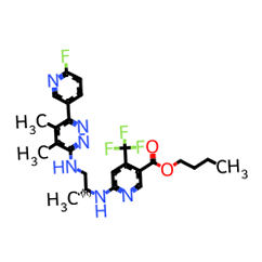 CCCCOC(=O)c1cnc(N[C@H](C)CNc2nnc(-c3ccc(F)nc3)c(C)c2C)cc1C(F)(F)F